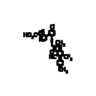 Cc1nc2cc(C(F)(F)F)c(N3CCN(C)CC3)c(C#N)c2c(=O)n1CC#Cc1ccc(Cl)cc1-c1ccnc2c(C(=O)O)csc12